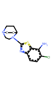 Nc1c(Cl)ccc2nc(N3CCN4CCC3CC4)sc12